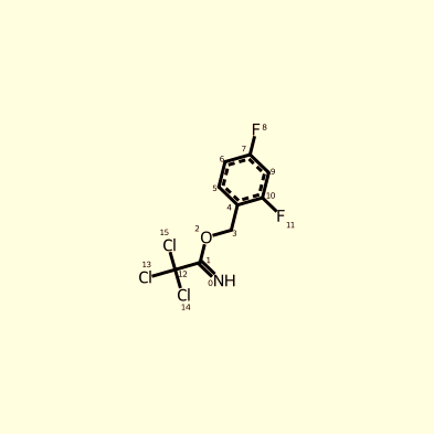 N=C(OCc1ccc(F)cc1F)C(Cl)(Cl)Cl